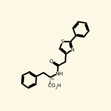 O=C(Cc1csc(-c2ccccc2)n1)N[C@@H](Cc1ccccc1)C(=O)O